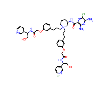 Nc1nc(N)c(C(=O)NC2CCC[N+](CCCc3cccc(OCC(=O)NC(CO)c4cccnc4)c3)(CCCc3cccc(OCC(=O)NC(CO)c4cccnc4)c3)C2)nc1Cl.[Cl-]